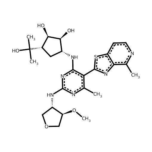 CO[C@H]1COC[C@@H]1Nc1nc(C)c(-c2nc3c(C)nccc3s2)c(N[C@@H]2C[C@H](C(C)(C)O)[C@@H](O)[C@H]2O)n1